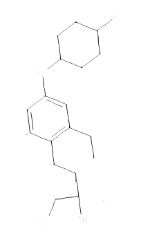 CC(C)(C)C1CCC(Oc2ccc3c(c2)CC[C@H]([C@@](C)(N)CO)C3)CC1